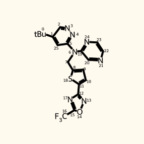 CC(C)(C)c1cnnc(N(Cc2ccc(-c3noc(C(F)(F)F)n3)s2)c2cnccn2)c1